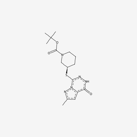 Cc1cc2c(=O)[nH]nc(S[C@@H]3CCCN(C(=O)OC(C)(C)C)C3)n2n1